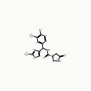 O=C1C[C@H](C(=O)NC(c2ccc(F)c(C(F)(F)F)c2)c2csc(C(F)(F)F)n2)CN1